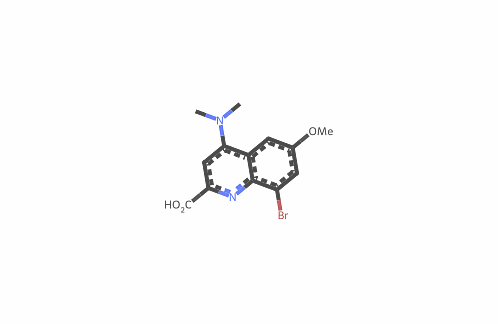 COc1cc(Br)c2nc(C(=O)O)cc(N(C)C)c2c1